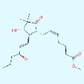 CCC[C@H](O)/C=C/[C@@H]1[C@@H](C/C=C\CCCC(=O)OC)C(=O)C(C)(C)[C@H]1O